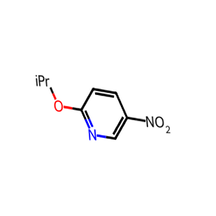 CC(C)Oc1ccc([N+](=O)[O-])cn1